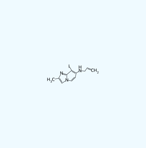 C=CCNc1ccn2cc(C)nc2c1I